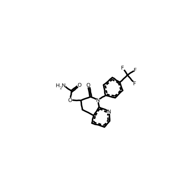 NC(=O)OC1Cc2cccnc2N(c2ccc(C(F)(F)F)cc2)C1=O